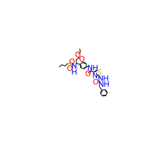 CCCCS(=O)(=O)NC(CC(=O)OCC)c1ccc(NC(=O)c2csc(NC(=O)NCc3ccccc3)n2)cc1